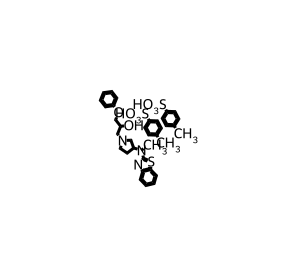 CN(c1nc2ccccc2s1)C1CCN(CC(O)COc2ccccc2)C1.Cc1ccc(S(=O)(=O)O)cc1.Cc1ccc(S(=O)(=O)O)cc1